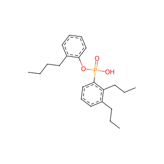 CCCCc1ccccc1OP(=O)(O)c1cccc(CCC)c1CCC